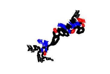 CCCN(Cc1nc2ccc3cc4c(cc3c2[nH]1)OCc1cc(-c2cnc(CN(C(=O)C[C@@H](C)CC)[C@@H](C)CC)n2N)ccc1-4)C(=O)[C@H](NC(=O)O)c1ccccc1